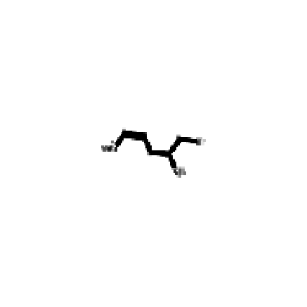 CS/C=C\CC(C)CC(C)C